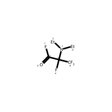 CCN(CC)C(F)(C(=O)F)C(F)(F)F